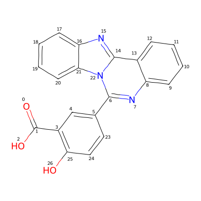 O=C(O)c1cc(-c2nc3ccccc3c3nc4ccccc4n23)ccc1O